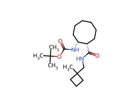 CC1(CNC(=O)[C@H]2CCCCCC[C@H]2NC(=O)OC(C)(C)C)CCC1